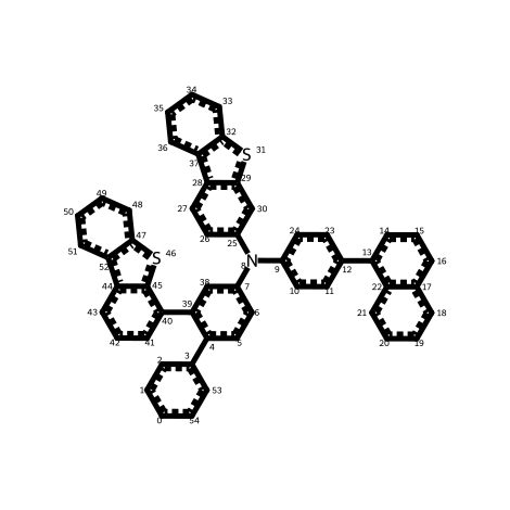 c1ccc(-c2ccc(N(c3ccc(-c4cccc5ccccc45)cc3)c3ccc4c(c3)sc3ccccc34)cc2-c2cccc3c2sc2ccccc23)cc1